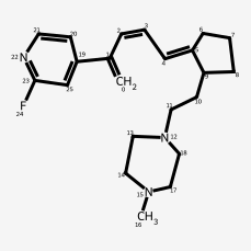 C=C(/C=C\C=C1/CCCC1CCN1CCN(C)CC1)c1ccnc(F)c1